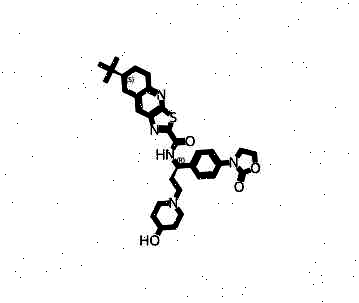 CC(C)(C)[C@H]1CCc2nc3sc(C(=O)N[C@H](CCN4CCC(O)CC4)c4ccc(N5CCOC5=O)cc4)nc3cc2C1